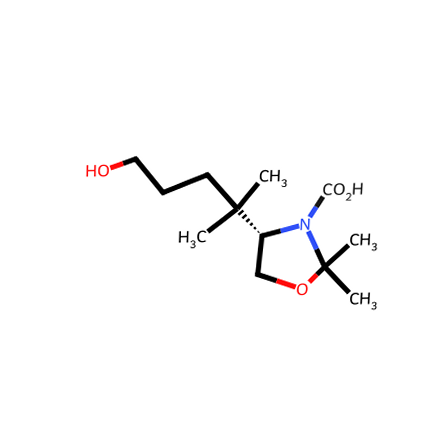 CC(C)(CCCO)[C@H]1COC(C)(C)N1C(=O)O